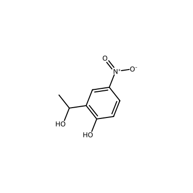 CC(O)c1cc([N+](=O)[O-])ccc1O